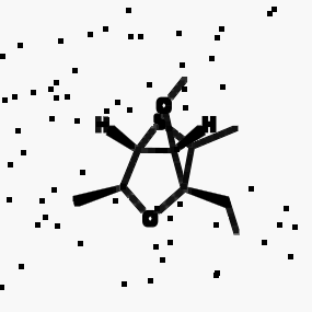 CC[C@]12O[C@@H](C)[C@H](SC1C)[C@@H]2OC